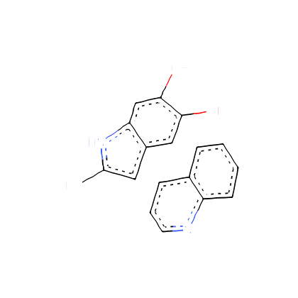 Cc1cc2cc(O)c(O)cc2[nH]1.c1ccc2ncccc2c1